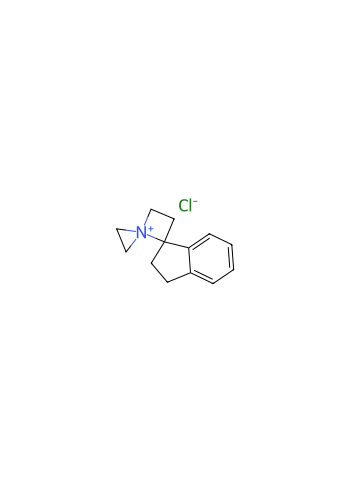 [Cl-].c1ccc2c(c1)CCC21CC[N+]12CC2